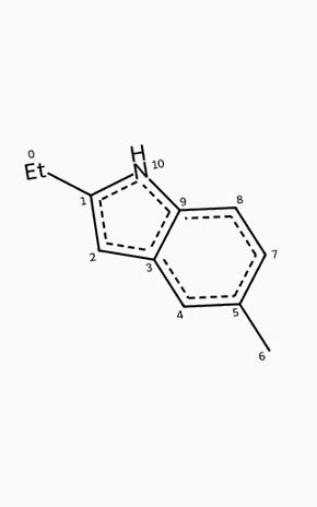 CCc1cc2cc(C)ccc2[nH]1